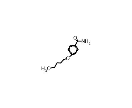 CCCCCOc1ccc(C(N)=O)cc1